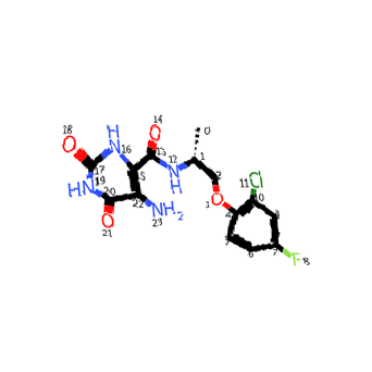 C[C@H](COc1ccc(F)cc1Cl)NC(=O)c1[nH]c(=O)[nH]c(=O)c1N